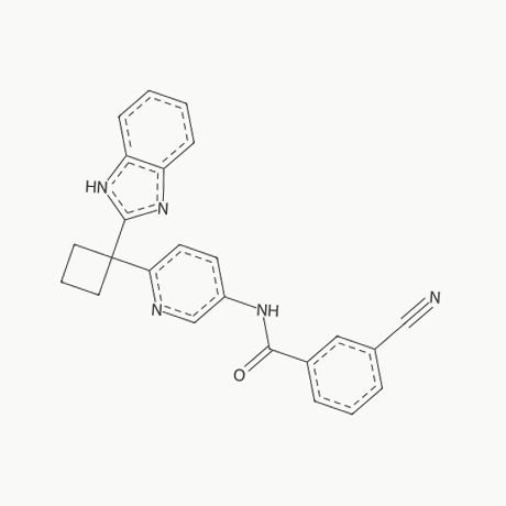 N#Cc1cccc(C(=O)Nc2ccc(C3(c4nc5ccccc5[nH]4)CCC3)nc2)c1